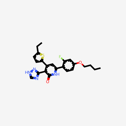 CCCCOc1ccc(-c2cc(-c3ccc(CC)s3)c(-c3nc[nH]n3)c(=O)[nH]2)c(F)c1